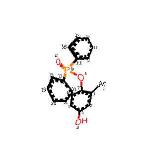 CC(=O)c1cc(O)ccc1OP(=O)(c1ccccc1)c1ccccc1